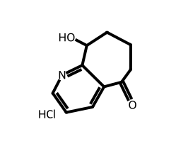 Cl.O=C1CCCC(O)c2ncccc21